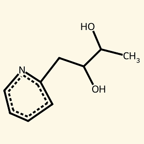 CC(O)C(O)Cc1ccccn1